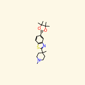 CN1CCC(C)(c2nc3cc(B4OC(C)(C)C(C)(C)O4)ccc3s2)CC1